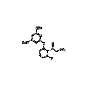 COc1cc(OC)nc(Oc2cccc(F)c2C(=O)C[N+](=O)[O-])n1